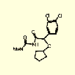 CNC(=O)NC(=O)C(OC1CCCC1)c1ccc(Cl)c(Cl)c1